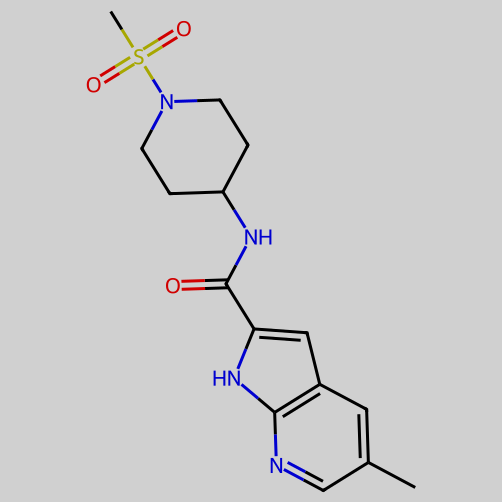 Cc1cnc2[nH]c(C(=O)NC3CCN(S(C)(=O)=O)CC3)cc2c1